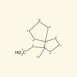 CC1(CC(=O)O)CCCC12CCCC2